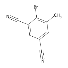 Cc1cc(C#N)cc(C#N)c1Br